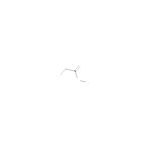 CC(C)(C)CC(=O)O[N+](=O)[O-]